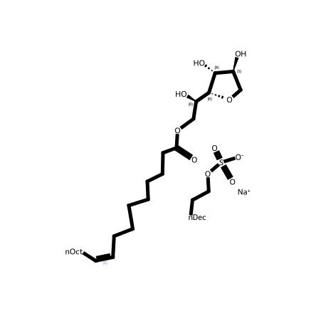 CCCCCCCC/C=C\CCCCCCCC(=O)OC[C@@H](O)[C@H]1OC[C@H](O)[C@H]1O.CCCCCCCCCCCCOS(=O)(=O)[O-].[Na+]